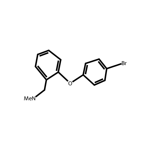 CNCc1ccccc1Oc1ccc(Br)cc1